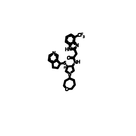 O=C(Cc1nc2c(C(F)(F)F)cccc2[nH]1)NC1CN(C2CCCOCC2)C[C@@H]1SC1CCc2ccncc21